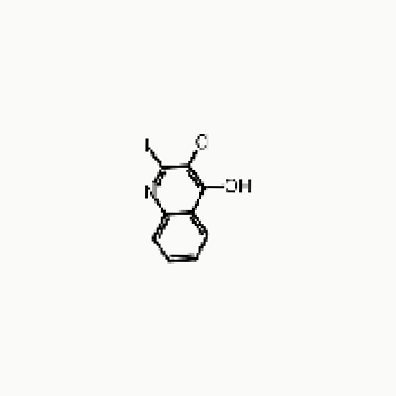 Oc1c(Cl)c(I)nc2ccccc12